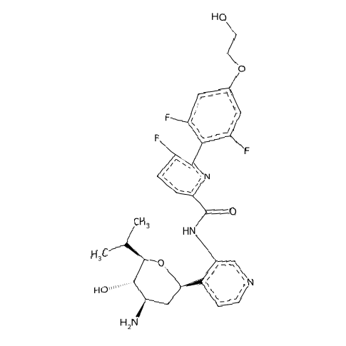 CC(C)[C@H]1O[C@@H](c2ccncc2NC(=O)c2ccc(F)c(-c3c(F)cc(OCCO)cc3F)n2)C[C@@H](N)[C@@H]1O